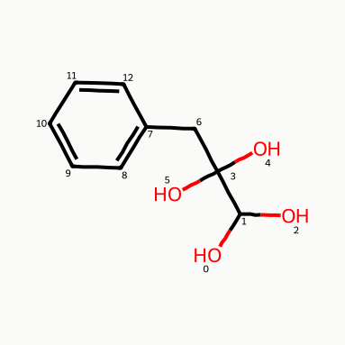 OC(O)C(O)(O)Cc1ccccc1